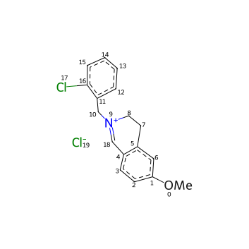 COc1ccc2c(c1)CC[N+](Cc1ccccc1Cl)=C2.[Cl-]